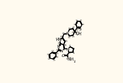 NC(=O)C1CCCN1c1nc(-c2ccccc2)nc2[nH]c(CN3CCC(O)(c4ccccc4)CC3)cc12